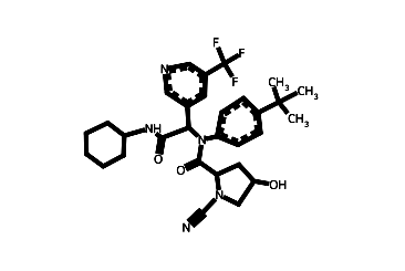 CC(C)(C)c1ccc(N(C(=O)C2CC(O)CN2C#N)C(C(=O)NC2CCCCC2)c2cncc(C(F)(F)F)c2)cc1